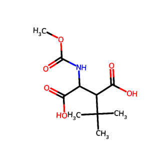 COC(=O)NC(C(=O)O)C(C(=O)O)C(C)(C)C